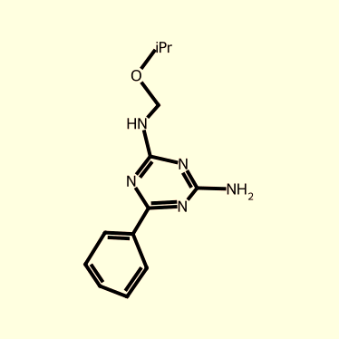 CC(C)OCNc1nc(N)nc(-c2ccccc2)n1